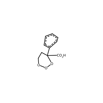 O=C(O)C1(c2ccccc2)CCOOO1